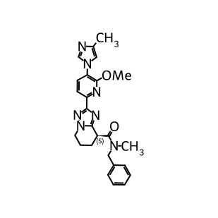 COc1nc(-c2nc3n(n2)CCC[C@@H]3C(=O)N(C)Cc2ccccc2)ccc1-n1cnc(C)c1